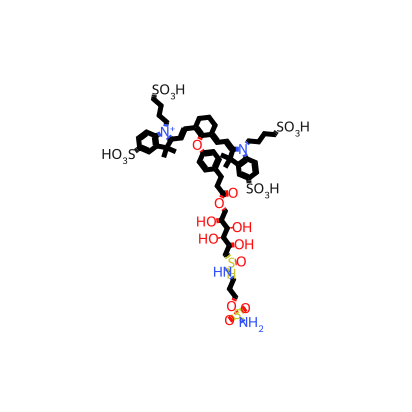 CC1(C)C(/C=C/C2=C(Oc3ccc(CCC(=O)OCC(O)[C@H](O)[C@@H](O)C(O)/C=[SH](=O)/NCCCOS(N)(=O)=O)cc3)C(=C/C=C3/N(CCCCS(=O)(=O)O)c4ccc(S(=O)(=O)O)cc4C3(C)C)/CCC2)=[N+](CCCCS(=O)(=O)O)c2ccc(S(=O)(=O)O)cc21